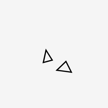 C1CC1.C1CC1